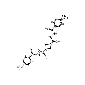 Nc1ccc(C(=O)NOC(=O)C2CC(C(=O)ONC(=O)c3ccc(N)cc3)C2)cc1